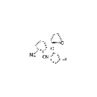 N#Cc1cccc(Oc2cccc(F)c2)c1C#N.c1ccc2c(c1)O2